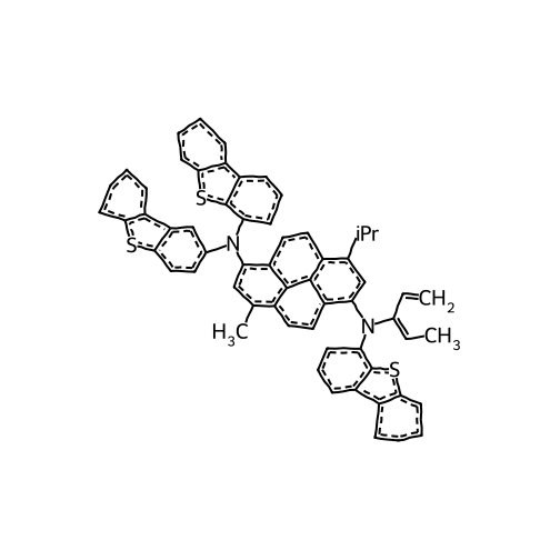 C=C/C(=C\C)N(c1cc(C(C)C)c2ccc3c(N(c4ccc5sc6ccccc6c5c4)c4cccc5c4sc4ccccc45)cc(C)c4ccc1c2c43)c1cccc2c1sc1ccccc12